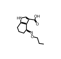 CCCON=C1CCCc2[nH]cc(C(=O)O)c21